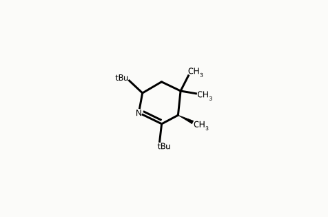 C[C@H]1C(C(C)(C)C)=NC(C(C)(C)C)CC1(C)C